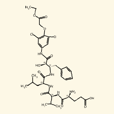 CCOC(=O)COc1c(Cl)cc(NC(=O)[C@H](O)[C@H](Cc2ccccc2)NC(=O)[C@H](CC(C)C)NC(=O)[C@@H](NC(=O)[C@@H](N)CCC(=O)O)C(C)C)cc1Cl